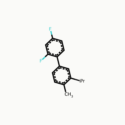 Cc1ccc(-c2ccc(F)cc2F)cc1C(C)C